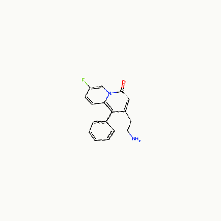 NCCc1cc(=O)n2cc(F)ccc2c1-c1ccccc1